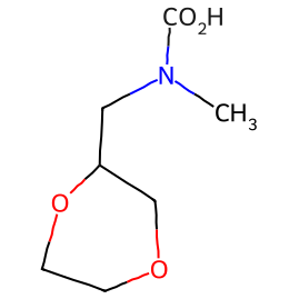 CN(CC1COCCO1)C(=O)O